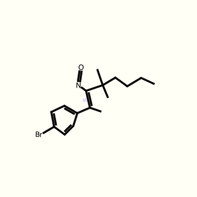 CCCCC(C)(C)/C(N=O)=C(\C)c1ccc(Br)cc1